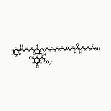 O=C(O)CC(NC(=O)[C@H](COCCOCCOCCOCCNC(=O)NCCCCNO)NC(=O)CCCCNc1ccccn1)c1cc(Cl)cc(Cl)c1